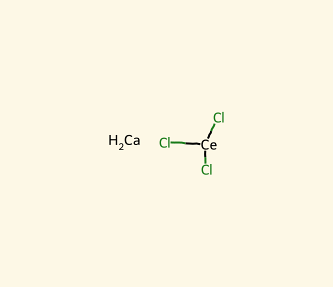 [CaH2].[Cl][Ce]([Cl])[Cl]